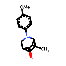 COc1ccc(N2CC3CCC2C(C)C3=O)cc1